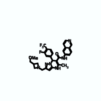 COCC1CN(Cc2cc3n(n2)C(c2ccc(C(F)(F)F)c(F)c2)C(C(=O)Nc2ccc4cnccc4c2)=C(C)N3)C1